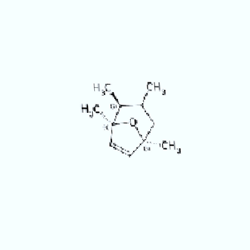 CC1C[C@@]2(C)C=C[C@](C)(O2)[C@H]1C